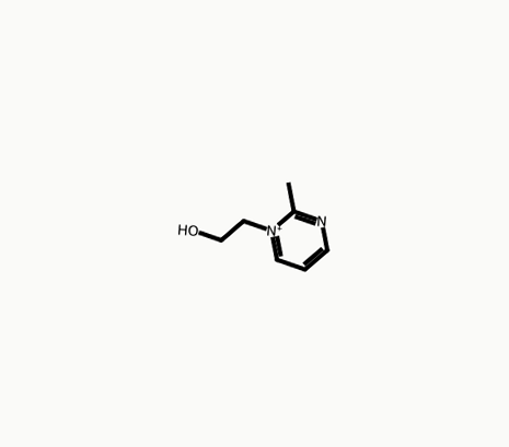 Cc1nccc[n+]1CCO